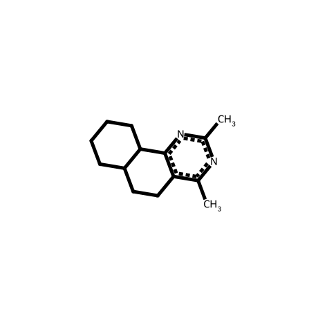 Cc1nc(C)c2c(n1)C1CCCCC1CC2